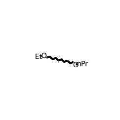 CCCOCCCCC[CH]CCCCOCC